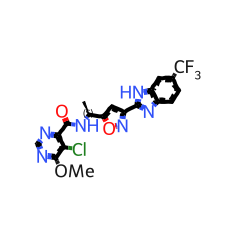 COc1ncnc(C(=O)N[C@@H](C)c2cc(-c3nc4ccc(C(F)(F)F)cc4[nH]3)no2)c1Cl